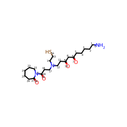 NCCCCCC(=O)CC(=O)CCN(CCS)CCC(=O)N1CCCCCC1=O